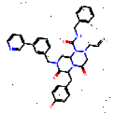 C=CCN1CC(=O)N2C(Cc3ccc(O)cc3)C(=O)N(Cc3cccc(-c4cccnc4)c3)CC2N1C(=O)NCc1ccccc1